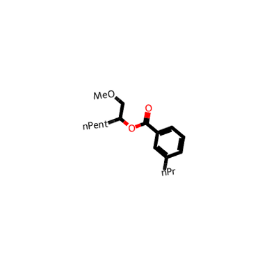 CCCCCC(COC)OC(=O)c1cccc(CCC)c1